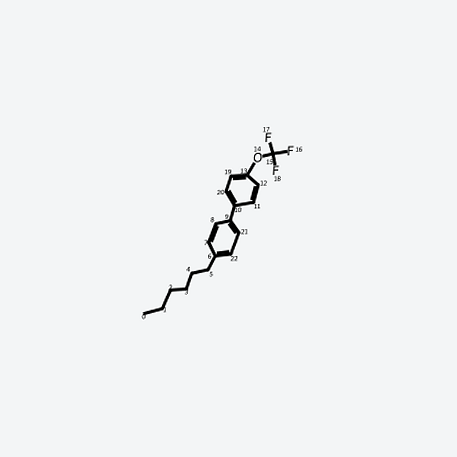 CCCCCCc1ccc(-c2ccc(OC(F)(F)F)cc2)cc1